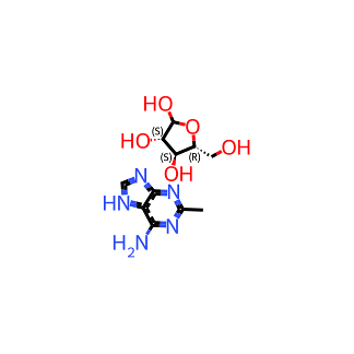 Cc1nc(N)c2[nH]cnc2n1.OC[C@H]1OC(O)[C@@H](O)[C@@H]1O